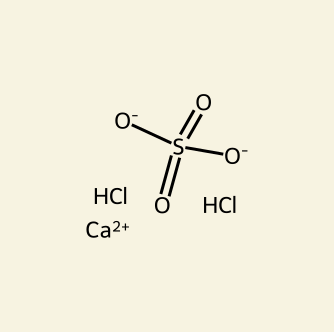 Cl.Cl.O=S(=O)([O-])[O-].[Ca+2]